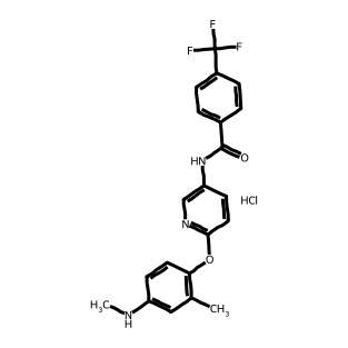 CNc1ccc(Oc2ccc(NC(=O)c3ccc(C(F)(F)F)cc3)cn2)c(C)c1.Cl